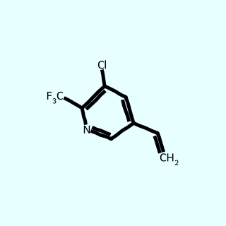 C=Cc1cnc(C(F)(F)F)c(Cl)c1